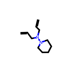 C=CCN(CC=C)N1CCCCC1